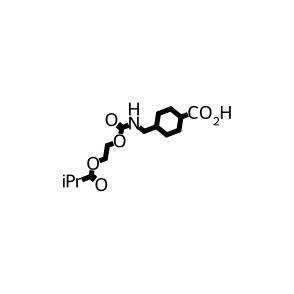 CC(C)C(=O)OCCOC(=O)NCC1CCC(C(=O)O)CC1